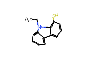 CCn1c2ccccc2c2cccc(S)c21